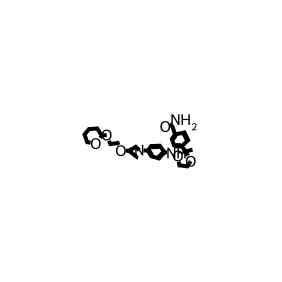 CC1(c2ccc(C(N)=O)cc2Nc2ccc(N3CC(OCCOC4CCCCO4)C3)cc2)OCCO1